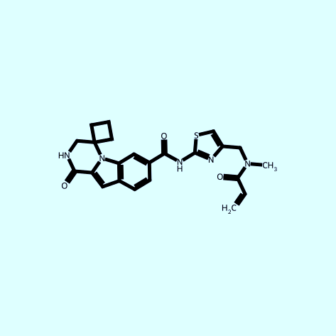 C=CC(=O)N(C)Cc1csc(NC(=O)c2ccc3cc4n(c3c2)C2(CCC2)CNC4=O)n1